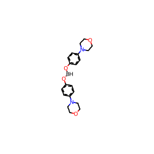 B(Oc1ccc(N2CCOCC2)cc1)Oc1ccc(N2CCOCC2)cc1